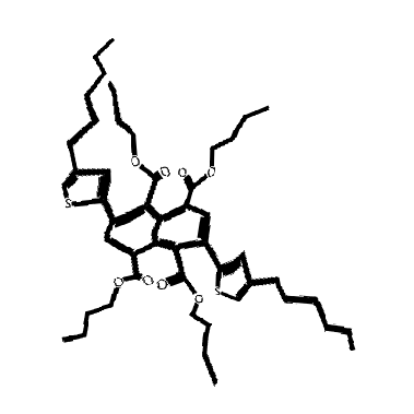 CCCCCCc1csc(-c2cc(C(=O)OCCCC)c3c(C(=O)OCCCC)c(-c4cc(CCCCCC)cs4)cc(C(=O)OCCCC)c3c2C(=O)OCCCC)c1